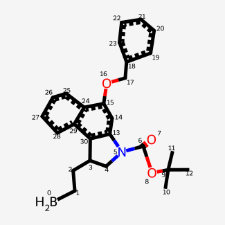 BCCC1CN(C(=O)OC(C)(C)C)c2cc(OCc3ccccc3)c3ccccc3c21